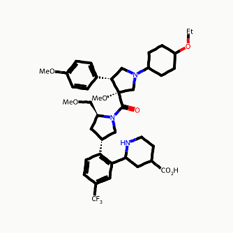 CCOC1CCC(N2C[C@@H](c3ccc(OC)cc3)[C@](OC)(C(=O)N3C[C@H](c4ccc(C(F)(F)F)cc4C4CC(C(=O)O)CCN4)C[C@H]3COC)C2)CC1